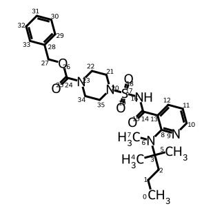 CCCC(C)(C)N(C)c1ncccc1C(=O)NS(=O)(=O)N1CCN(C(=O)OCc2ccccc2)CC1